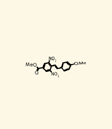 COC(=O)c1cc([N+](=O)[O-])c(C=Cc2ccc(OC)cc2)c([N+](=O)[O-])c1